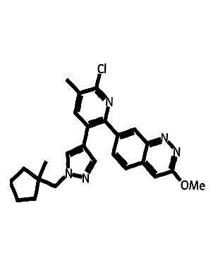 COc1cc2ccc(-c3nc(Cl)c(C)cc3-c3cnn(CC4(C)CCCC4)c3)cc2nn1